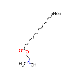 CCCCCCCCCC=CC=CC=CC=CC=CC=CC(=O)OCCN(C)C